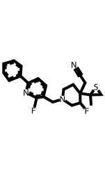 CC1(C2(CC#N)CCN(Cc3ccc(-c4ccccc4)nc3F)CC2F)CS1